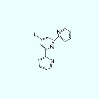 Ic1cc(-c2ccccn2)nc(-c2ccccn2)c1